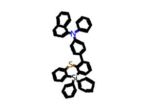 c1ccc(N(c2ccc(-c3cccc4c3Sc3ccccc3[Si]4(c3ccccc3)c3ccccc3)cc2)c2cccc3ccccc23)cc1